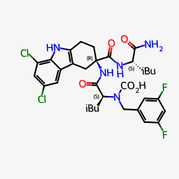 CCC(C)[C@H](NC(=O)[C@@]1(NC(=O)[C@H](C(C)CC)N(Cc2cc(F)cc(F)c2)C(=O)O)CCc2[nH]c3c(Cl)cc(Cl)cc3c2C1)C(N)=O